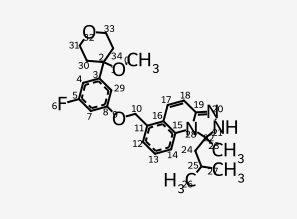 COC1(c2cc(F)cc(OCc3cccc4c3C=CC3=NNC(C)(CC(C)C)N34)c2)CCOCC1